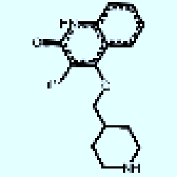 CC(C)c1c(OCC2CCNCC2)c2ccccc2[nH]c1=O